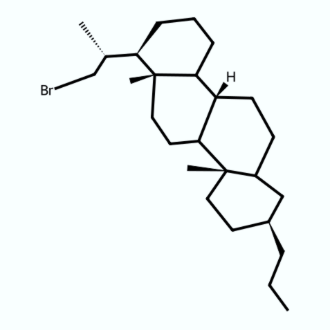 CCC[C@H]1CC[C@@]2(C)C(CC[C@@H]3C2CC[C@@]2(C)C3CCC[C@@H]2[C@@H](C)CBr)C1